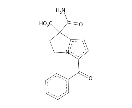 NC(=O)C1(C(=O)O)CCn2c(C(=O)c3ccccc3)ccc21